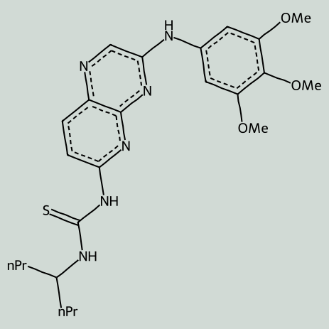 CCCC(CCC)NC(=S)Nc1ccc2ncc(Nc3cc(OC)c(OC)c(OC)c3)nc2n1